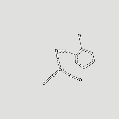 CCc1ccccc1C(=O)[O-].O=[C]=[Cr+](=[C]=O)=[C]=O